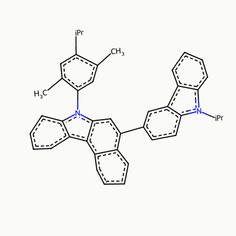 Cc1cc(-n2c3ccccc3c3c4ccccc4c(-c4ccc5c(c4)c4ccccc4n5C(C)C)cc32)c(C)cc1C(C)C